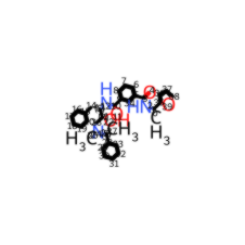 CC(NC(=O)c1cccc(C(=O)N[C@@H](Cc2ccccc2)[C@H](O)CN(C)[C@@H](C)c2ccccc2)c1)c1ccco1